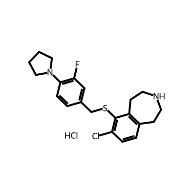 Cl.Fc1cc(CSc2c(Cl)ccc3c2CCNCC3)ccc1N1CCCC1